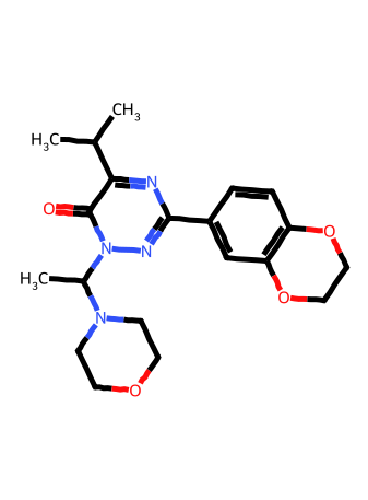 CC(C)c1nc(-c2ccc3c(c2)OCCO3)nn(C(C)N2CCOCC2)c1=O